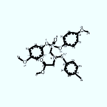 COC(=O)CN(CP(=O)(Oc1ccc(OC)cc1)Oc1ccc(OC)cc1)Sc1ccc(C)cc1